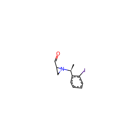 C[C@@H](c1ccccc1I)[N@@]1CC1C=O